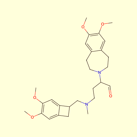 COc1cc2c(cc1OC)CCN(C(C=O)CCN(C)CC1Cc3cc(OC)c(OC)cc31)CC2